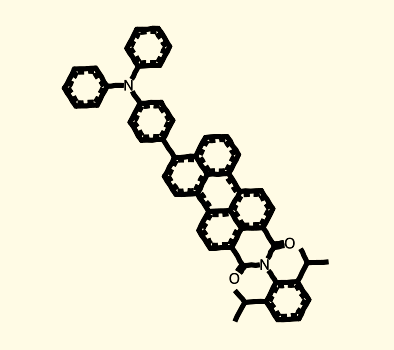 CC(C)c1cccc(C(C)C)c1N1C(=O)c2ccc3c4cccc5c(-c6ccc(N(c7ccccc7)c7ccccc7)cc6)ccc(c6ccc(c2c36)C1=O)c54